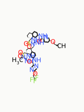 C#CCOc1ccc(C(=O)Nc2ccc3c(c2)[C@]2(CCC3)CS(=O)(=O)N(CC3CC[C@]4(CS(=O)(=O)N(C)C(=N)N4)c4cc(NC(=O)c5cnc(OCC(F)(F)F)cn5)ccc43)C(=N)N2)nc1